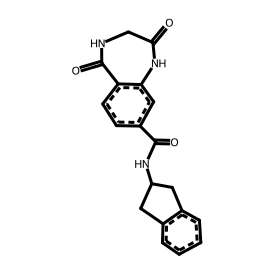 O=C1CNC(=O)c2ccc(C(=O)NC3Cc4ccccc4C3)cc2N1